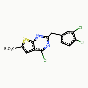 CCOC(=O)c1cc2c(Cl)nc(Cc3ccc(Cl)c(Cl)c3)nc2s1